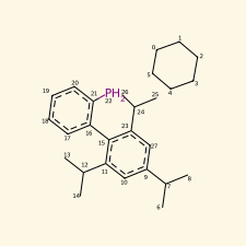 C1CCCCC1.CC(C)c1cc(C(C)C)c(-c2ccccc2P)c(C(C)C)c1